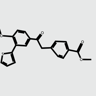 COC(=O)c1ccc(CC(=O)c2ccc(OC)c(-c3cccs3)c2)cc1